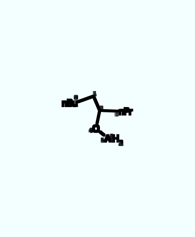 CCCCCC(CCC)[O][AlH2]